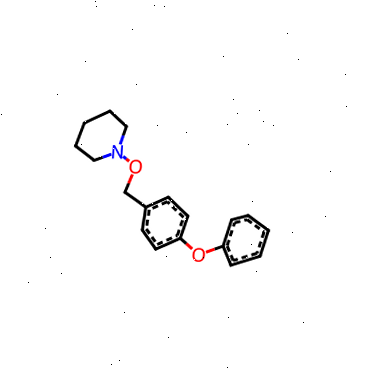 c1ccc(Oc2ccc(CON3CCCCC3)cc2)cc1